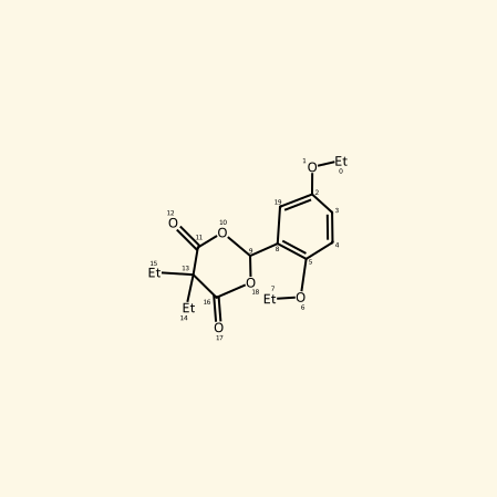 CCOc1ccc(OCC)c(C2OC(=O)C(CC)(CC)C(=O)O2)c1